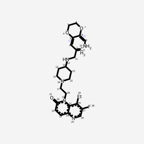 C=C(/C=C1/OCCO/C1=C/N)CNC1CCN(CCn2c(=O)ccc3ncc(F)c(CC)c32)CC1